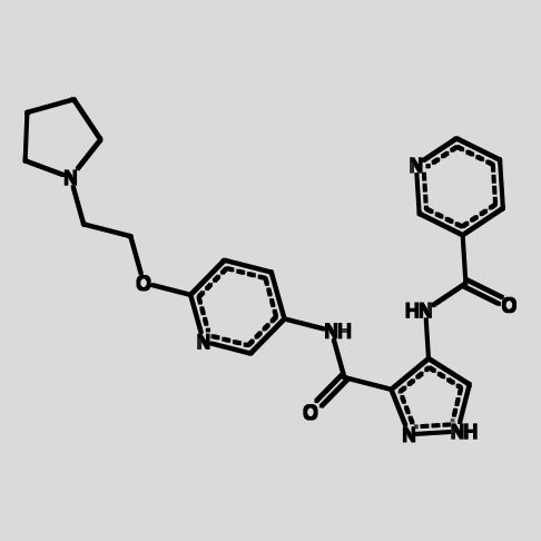 O=C(Nc1c[nH]nc1C(=O)Nc1ccc(OCCN2CCCC2)nc1)c1cccnc1